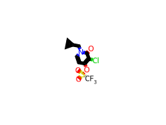 O=c1c(Cl)c(OS(=O)(=O)C(F)(F)F)ccn1CC1CC1